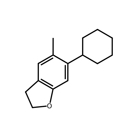 Cc1cc2c(cc1C1CCCCC1)OCC2